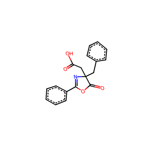 O=C(O)CC1(Cc2ccccc2)N=C(c2ccccc2)OC1=O